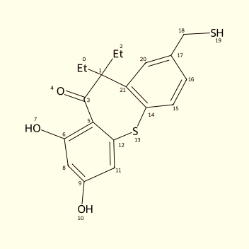 CCC1(CC)C(=O)c2c(O)cc(O)cc2Sc2ccc(CS)cc21